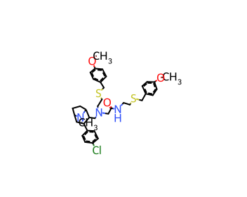 COc1ccc(CSCCNC(=O)CN(CCSCc2ccc(OC)cc2)CC2C(c3ccc(Cl)cc3)CC3CCC2N3C)cc1